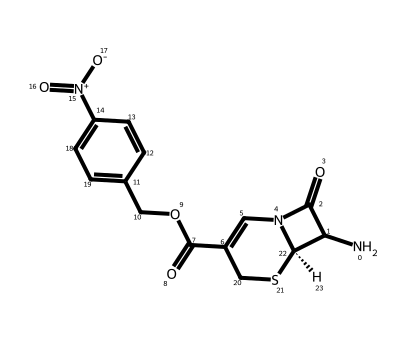 NC1C(=O)N2C=C(C(=O)OCc3ccc([N+](=O)[O-])cc3)CS[C@H]12